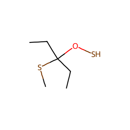 CCC(CC)(OS)SC